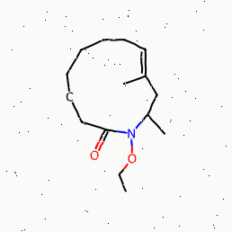 CCON1C(=O)CCCCCC/C=C(\C)CC1C